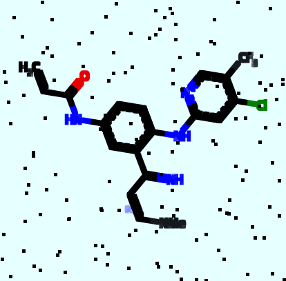 C=CC(=O)Nc1ccc(Nc2cc(Cl)c(C(F)(F)F)cn2)c(C(=N)/C=C\NC)c1